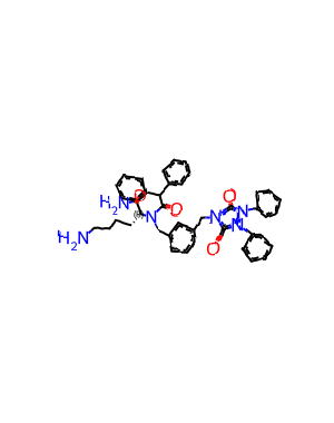 NCCCC[C@H](C(N)=O)N(Cc1cccc(Cn2c(=O)n(-c3ccccc3)n(-c3ccccc3)c2=O)c1)C(=O)C(c1ccccc1)c1ccccc1